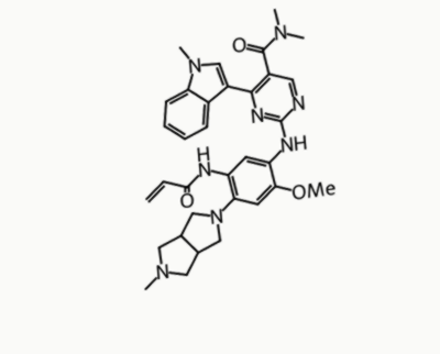 C=CC(=O)Nc1cc(Nc2ncc(C(=O)N(C)C)c(-c3cn(C)c4ccccc34)n2)c(OC)cc1N1CC2CN(C)CC2C1